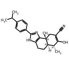 CC(C)c1ccc(-c2nc3c([nH]2)CC[C@@H]2[C@@H](C)C(O)=C(C#N)C[C@@]32C)cc1